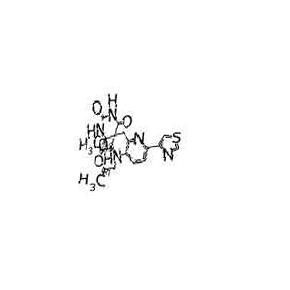 C[C@@H]1CN2c3ccc(-c4cscn4)nc3CC3(C(=O)NC(=O)NC3=O)[C@H]2[C@H](C)O1